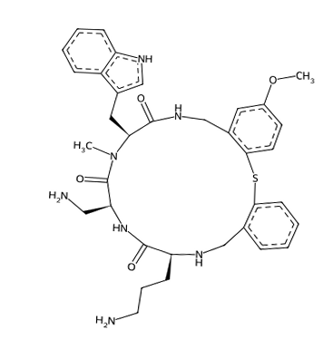 COc1ccc2c(c1)CNC(=O)[C@H](Cc1c[nH]c3ccccc13)N(C)C(=O)[C@H](CN)NC(=O)[C@H](CCCN)NCc1ccccc1S2